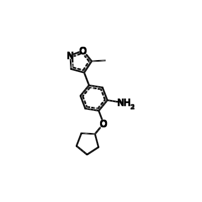 Cc1oncc1-c1ccc(OC2CCCC2)c(N)c1